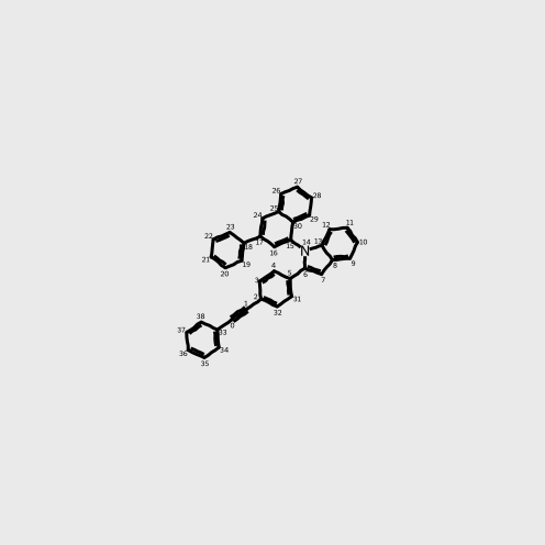 C(#Cc1ccc(-c2cc3ccccc3n2-c2cc(-c3ccccc3)cc3ccccc23)cc1)c1ccccc1